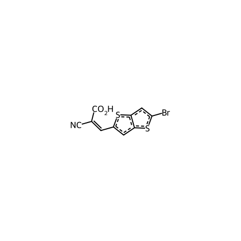 N#CC(=Cc1cc2sc(Br)cc2s1)C(=O)O